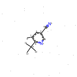 Cc1cc(C#N)cnc1C(C)(C)C